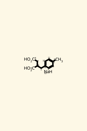 Cc1ccc(CC(CC(=O)O)C(=O)O)cc1.[NaH]